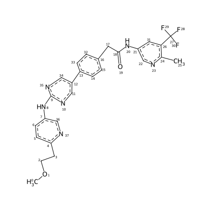 COCCc1ccc(Nc2ncc(-c3ccc(CC(=O)Nc4cnc(C)c(C(F)(F)F)c4)cc3)cn2)cn1